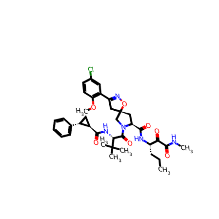 CCC[C@H](NC(=O)[C@@H]1C[C@]2(CC(c3cc(Cl)ccc3OC)=NO2)CN1C(=O)[C@@H](NC(=O)[C@@H]1C[C@H]1c1ccccc1)C(C)(C)C)C(=O)C(=O)NC